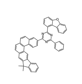 CC1(C)c2ccccc2-c2cc3c(ccc4ccc5cc(-c6nc(-c7ccccc7)nc(-c7cccc8oc9ccccc9c78)n6)ccc5c43)cc21